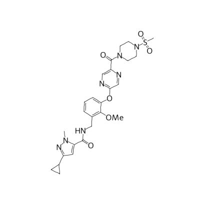 COc1c(CNC(=O)c2cc(C3CC3)nn2C)cccc1Oc1cnc(C(=O)N2CCN(S(C)(=O)=O)CC2)cn1